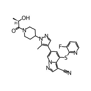 Cc1c(-c2cc(Sc3ncccc3F)c3c(C#N)cnn3c2)cnn1C1CCN(C(=O)[C@@H](C)O)CC1